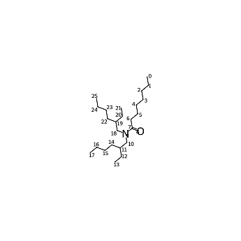 CCCCCCCC(=O)N(CC(CC)CCCC)CC(CC)CCCC